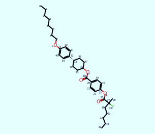 CCCCCCCCOc1ccc([C@H]2CC[C@H](OC(=O)c3ccc(OC(=O)C(C)(F)CCCCC)cc3)CC2)cc1